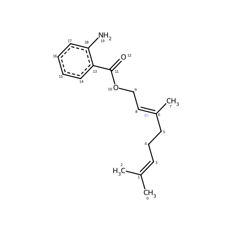 CC(C)=CCC/C(C)=C/COC(=O)c1ccccc1N